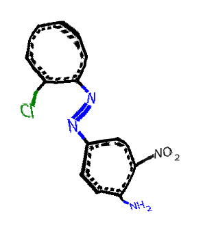 Nc1ccc(N=Nc2ccccc2Cl)cc1[N+](=O)[O-]